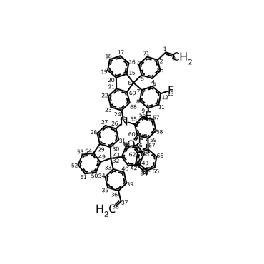 C=Cc1ccc(C2(c3cc(F)cc(F)c3)c3ccccc3-c3ccc(N(c4ccc5c(c4)C(c4ccc(C=C)cc4)(c4cc(F)cc(F)c4)c4ccccc4-5)c4cccc5c4oc4ccccc45)cc32)cc1